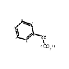 O=C(O)[Se]c1ccccc1